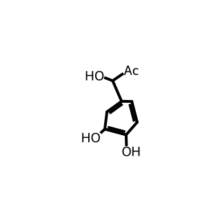 CC(=O)C(O)c1ccc(O)c(O)c1